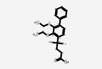 CCOc1c(-c2ccccc2)ccc(C(F)(F)CCC(=O)O)c1OCC